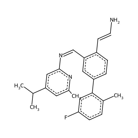 Cc1cc(C(C)C)cc(/N=C\c2cc(-c3cc(F)ccc3C)ccc2/C=C/N)n1